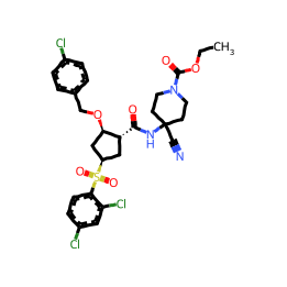 CCOC(=O)N1CCC(C#N)(NC(=O)[C@@H]2C[C@@H](S(=O)(=O)c3ccc(Cl)cc3Cl)C[C@H]2OCc2ccc(Cl)cc2)CC1